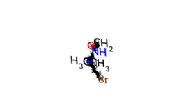 C=CC(=O)NCCC[N+](C)(C)CCCCCBr